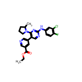 CCOC(=O)c1cncc(-c2cnc(Nc3ccc(F)c(Cl)c3)nc2N2CCCC2C)c1